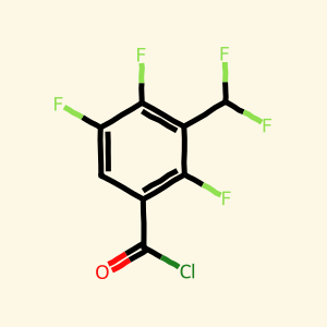 O=C(Cl)c1cc(F)c(F)c(C(F)F)c1F